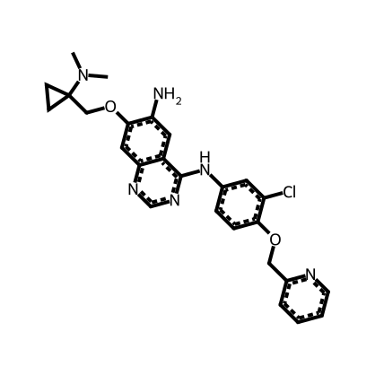 CN(C)C1(COc2cc3ncnc(Nc4ccc(OCc5ccccn5)c(Cl)c4)c3cc2N)CC1